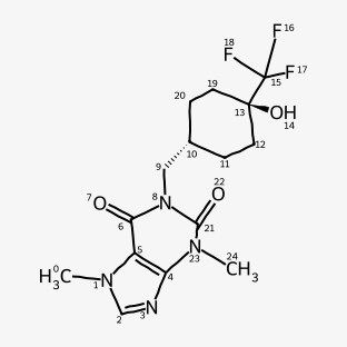 Cn1cnc2c1c(=O)n(C[C@H]1CC[C@@](O)(C(F)(F)F)CC1)c(=O)n2C